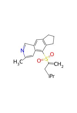 C=C(CC(C)C)S(=O)(=O)c1c2c(cc3cnc(C)cc13)CCC2